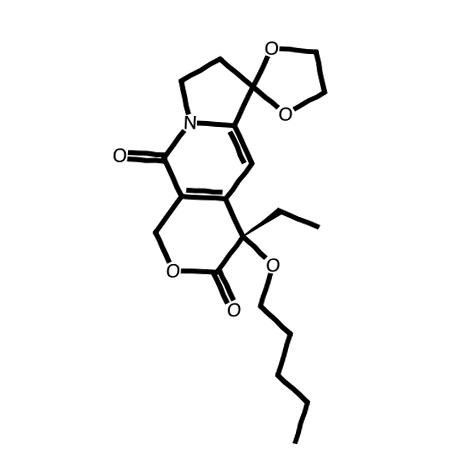 CCCCCO[C@]1(CC)C(=O)OCc2c1cc1n(c2=O)CCC12OCCO2